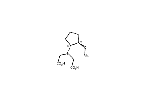 CCCCO[C@@H]1CCC[C@H]1N(CC(=O)O)CC(=O)O